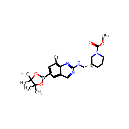 CCc1cc(B2OC(C)(C)C(C)(C)O2)cc2cnc(NC[C@H]3CCCN(C(=O)OC(C)(C)C)C3)nc12